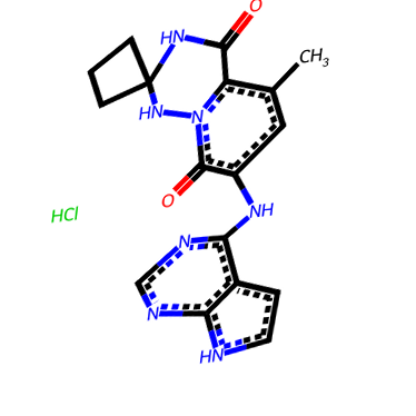 Cc1cc(Nc2ncnc3[nH]ccc23)c(=O)n2c1C(=O)NC1(CCC1)N2.Cl